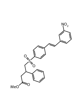 COC(=O)CC(CS(=O)(=O)c1ccc(C=Cc2cccc([N+](=O)[O-])c2)cc1)c1ccccc1